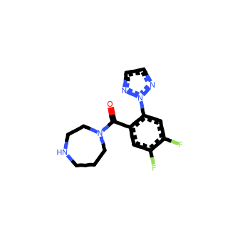 O=C(c1cc(F)c(F)cc1-n1nccn1)N1CCCNCC1